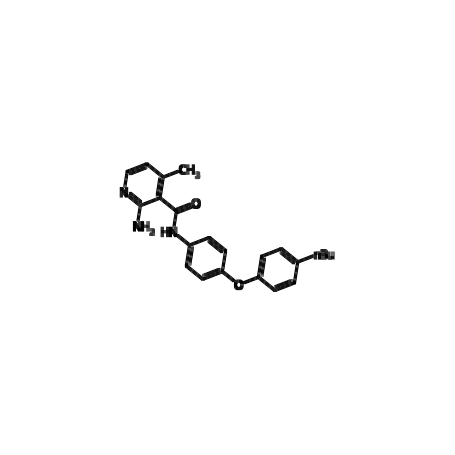 CCCCc1ccc(Oc2ccc(NC(=O)c3c(C)ccnc3N)cc2)cc1